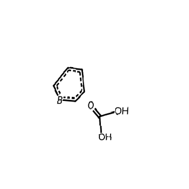 O=C(O)O.b1ccccc1